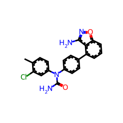 Cc1ccc(N(C(N)=O)c2ccc(-c3cccc4onc(N)c34)cc2)cc1Cl